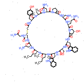 CCCC[C@H]1C(=O)N(C)[C@@H](CCCC)C(=O)N[C@@H](CCN)C(=O)N[C@H](C(=O)NCC(N)=O)CSCC(=O)N[C@@H](Cc2ccc(O)cc2)C(=O)N(C)[C@@H](C)C(=O)N[C@@H](CC(N)=O)C(=O)N2CCC[C@H]2C(=O)N[C@@H](CN)C(=O)N[C@@H](CCC(N)=O)C(=O)N2C[C@H](O)C[C@H]2C(=O)N[C@@H](Cc2c[nH]c3ccccc23)C(=O)N[C@@H](CO)C(=O)N[C@@H](Cc2c[nH]c3ccccc23)C(=O)N1C